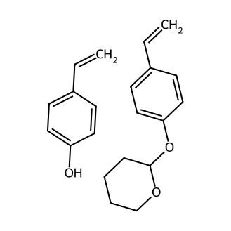 C=Cc1ccc(O)cc1.C=Cc1ccc(OC2CCCCO2)cc1